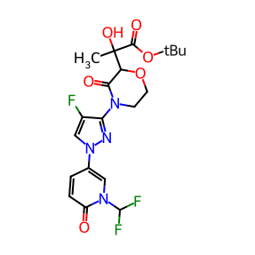 CC(C)(C)OC(=O)C(C)(O)C1OCCN(c2nn(-c3ccc(=O)n(C(F)F)c3)cc2F)C1=O